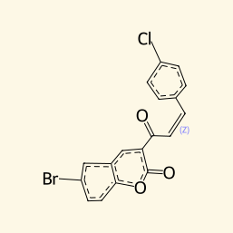 O=C(/C=C\c1ccc(Cl)cc1)c1cc2cc(Br)ccc2oc1=O